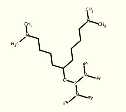 CC(C)N(C(C)C)P(OC(CCCCN(C)C)CCCCN(C)C)N(C(C)C)C(C)C